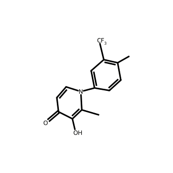 Cc1ccc(-n2ccc(=O)c(O)c2C)cc1C(F)(F)F